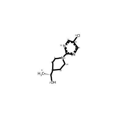 C[C@@H](O)C1CCN(c2ncc(Cl)cn2)CC1